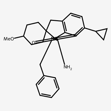 COC1CCC2(CC1)Cc1ccc(C3CC3)cc1C21N=C(N)N(Cc2ccccc2)C1=O